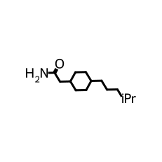 CC(C)CCCC1CCC(CC(N)=O)CC1